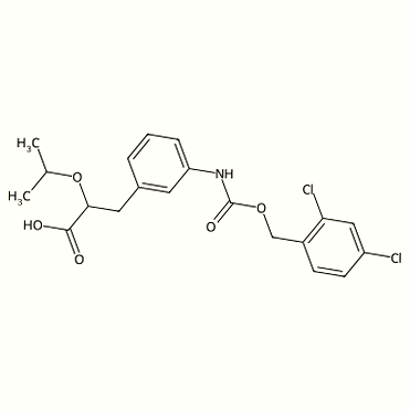 CC(C)OC(Cc1cccc(NC(=O)OCc2ccc(Cl)cc2Cl)c1)C(=O)O